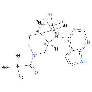 [2H]C([2H])([N+]#[C-])C(=O)N1CC[C@@]([2H])(C([2H])([2H])[2H])[C@@]([2H])(N(c2ncnc3[nH]ccc23)C([2H])([2H])[2H])C1